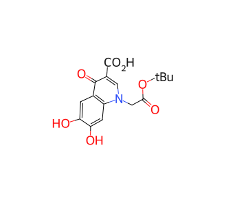 CC(C)(C)OC(=O)Cn1cc(C(=O)O)c(=O)c2cc(O)c(O)cc21